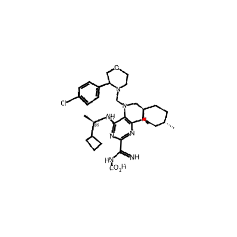 C=Nc1nc(C(=N)NC(=O)O)nc(N[C@H](C)C2CCC2)c1N(CN1CCOCC1c1ccc(Cl)cc1)C[C@H]1CC[C@H](C)CC1